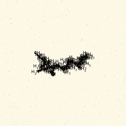 CSCC[C@H](N)C(=O)NCC(=O)N[C@@H](CS)C(=O)N[C@@H](CO)C(=O)N[C@@H](C)C(=O)N[C@@H](CCCCN)C(=O)N[C@@H](C)C(=O)N[C@@H](CCCNC(=N)N)C(=O)N[C@@H](Cc1c[nH]c2ccccc12)C(=O)N[C@@H](C)C(=O)N[C@@H](C)C(=O)NCC(=O)N[C@@H](C)C(=O)N[C@@H](CC(C)C)C(=O)NCC(=O)N[C@H](C(=O)N[C@@H](C)C(=O)NCC(=O)N[C@@H](CC(C)C)C(=O)N[C@@H](CC(C)C)C(=O)N[C@@H](CS)C(=O)N[C@@H](C)C(=O)N[C@H](C(=O)O)C(C)C)C(C)C